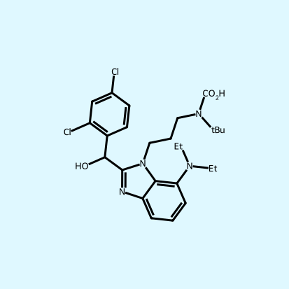 CCN(CC)c1cccc2nc(C(O)c3ccc(Cl)cc3Cl)n(CCCN(C(=O)O)C(C)(C)C)c12